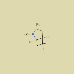 C[C@@H]1C[C@@H]2[C@@H](CC2(F)F)N1C